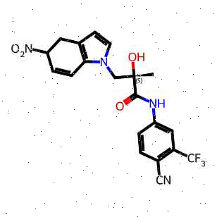 C[C@](O)(Cn1ccc2c1C=CC([N+](=O)[O-])C2)C(=O)Nc1ccc(C#N)c(C(F)(F)F)c1